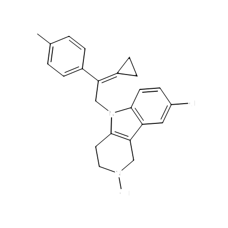 CN1CCc2c(c3cc(Cl)ccc3n2CC(=C2CC2)c2ccc(F)cc2)C1